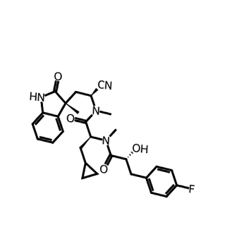 CN(C(=O)[C@H](CC1CC1)N(C)C(=O)[C@H](O)Cc1ccc(F)cc1)[C@H](C#N)C[C@@]1(C)C(=O)Nc2ccccc21